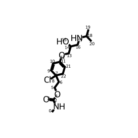 CNC(=O)OCCC1(Cl)C=CC(OCC(O)CNC(C)C)=CC1